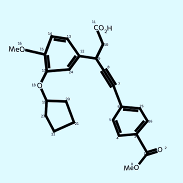 COC(=O)c1ccc(C#CC(CC(=O)O)c2ccc(OC)c(OC3CCCC3)c2)cc1